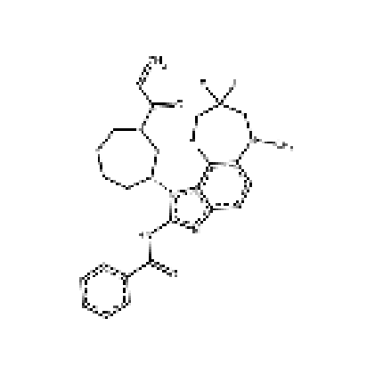 C=CC(=O)N1CCCC[C@@H](n2c(NC(=O)c3ccccc3)nc3ccc4c(c32)OCC(F)(F)CN4C)C1